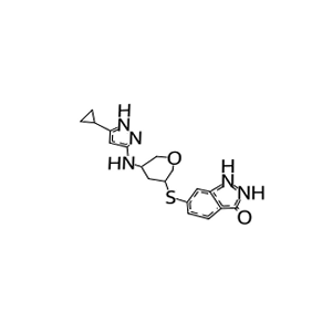 O=c1[nH][nH]c2cc(SC3COCC(Nc4cc(C5CC5)[nH]n4)C3)ccc12